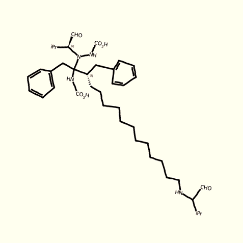 CC(C)C(C=O)NCCCCCCCCCCCC[C@@H](Cc1ccccc1)C(Cc1ccccc1)(NC(=O)O)N(NC(=O)O)[C@H](C=O)C(C)C